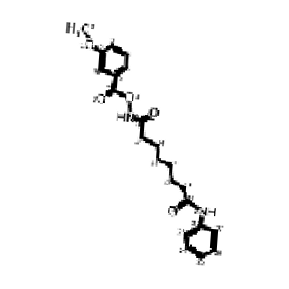 COc1cccc(C(=O)ONC(=O)CCCCCCC(=O)Nc2ccccc2)c1